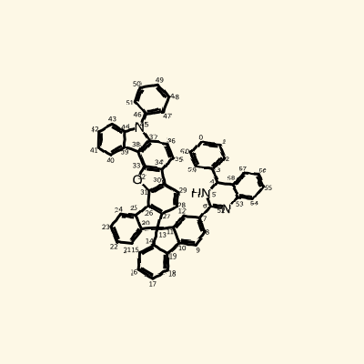 c1ccc(C2NC(c3ccc4c(c3)C3(c5ccccc5-4)c4ccccc4-c4c3ccc3c4oc4c3ccc3c4c4ccccc4n3-c3ccccc3)=Nc3ccccc32)cc1